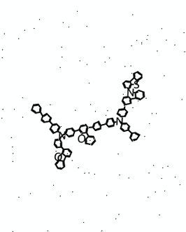 c1ccc(-c2ccc(-c3ccc(N(c4ccc(-c5ccc(-c6ccc(-c7ccc(N(c8ccc(-c9ccccc9)cc8)c8ccc(-c9ccc%10c(c9)c9ccccc9n%10-c9cccc%10c9sc9ccccc9%10)cc8)cc7)cc6)c6c5oc5ccccc56)cc4)c4cccc(-c5cccc6c5oc5ccccc56)c4)cc3)cc2)cc1